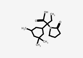 CCC(C(=O)O)(C1CC(C)CC(C)(C)C1)N1CCCC1=O